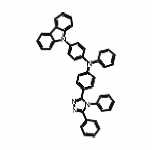 c1ccc(-c2nnc(-c3ccc(N(c4ccccc4)c4ccc(-n5c6ccccc6c6ccccc65)cc4)cc3)n2-c2ccccc2)cc1